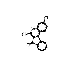 O=C1c2ccccc2-c2c1c(Cl)nc1cc(Cl)ccc21